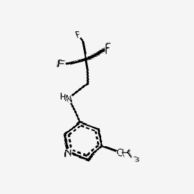 Cc1cncc(NCC(F)(F)F)c1